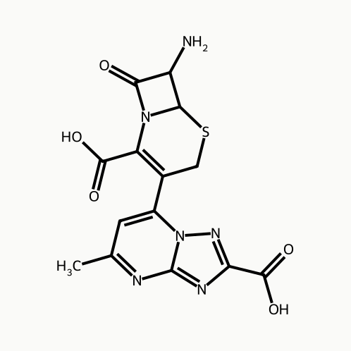 Cc1cc(C2=C(C(=O)O)N3C(=O)C(N)C3SC2)n2nc(C(=O)O)nc2n1